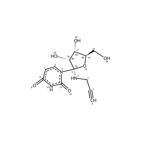 C#CCN[C@@]1(n2ccc(=O)[nH]c2=O)O[C@H](CO)[C@@H](O)[C@H]1O